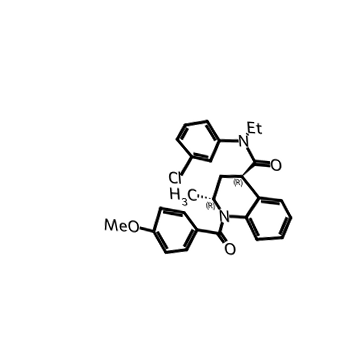 CCN(C(=O)[C@@H]1C[C@@H](C)N(C(=O)c2ccc(OC)cc2)c2ccccc21)c1cccc(Cl)c1